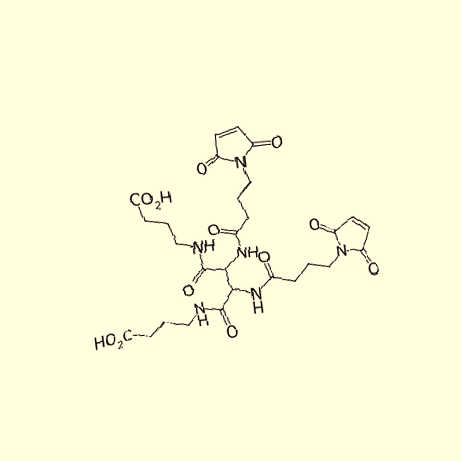 O=C(O)CCCNC(=O)C(NC(=O)CCCN1C(=O)C=CC1=O)C(NC(=O)CCCN1C(=O)C=CC1=O)C(=O)NCCCC(=O)O